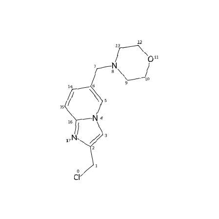 ClCc1cn2cc(CN3CCOCC3)ccc2n1